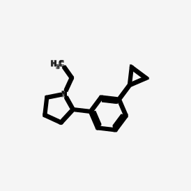 CCN1CCCC1c1cccc(C2CC2)c1